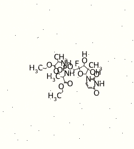 CCOC(=O)C(C)NP(=O)(NC(C)C(=O)OCC)OC[C@@]1(F)O[C@@H](n2ccc(=O)[nH]c2=O)[C@](C)(O)[C@@H]1O